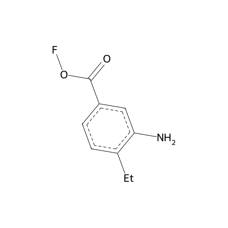 CCc1ccc(C(=O)OF)cc1N